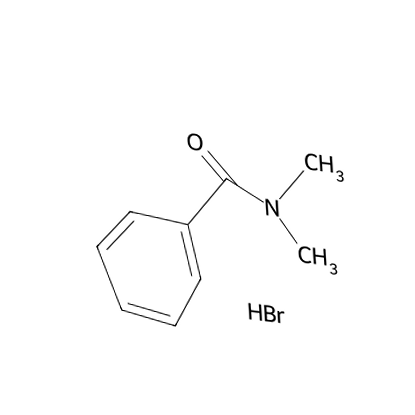 Br.CN(C)C(=O)c1ccccc1